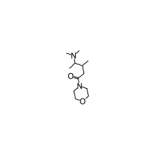 CC(CC(=O)N1CCOCC1)C(C)N(C)C